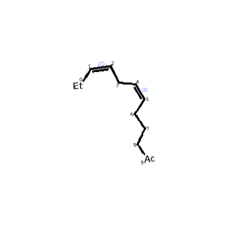 CC/C=C\C/C=C\CCCC(C)=O